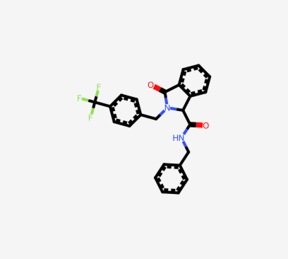 O=C(NCc1ccccc1)C1c2ccccc2C(=O)N1Cc1ccc(C(F)(F)F)cc1